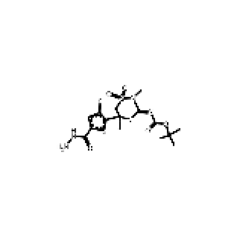 CN1/C(=N/C(=O)OC(C)(C)C)N[C@](C)(c2sc(C(=O)NN)cc2Cl)CS1(=O)=O